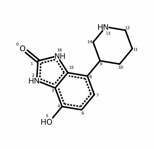 O=c1[nH]c2c(O)ccc(C3CCCNC3)c2[nH]1